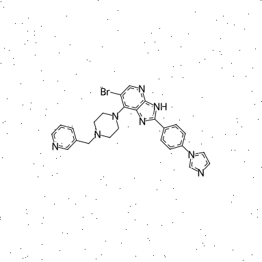 Brc1cnc2[nH]c(-c3ccc(-n4ccnc4)cc3)nc2c1N1CCN(Cc2cccnc2)CC1